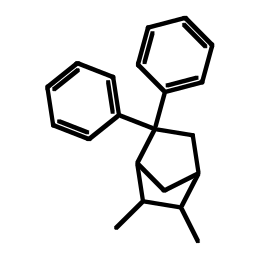 CC1C2CC(C1C)C(c1ccccc1)(c1ccccc1)C2